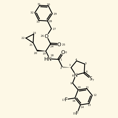 O=C(C[C@@H]1CCC(=S)N1Cc1cccc(F)c1F)N[C@@H](CC1CC1)C(=O)OCc1ccccc1